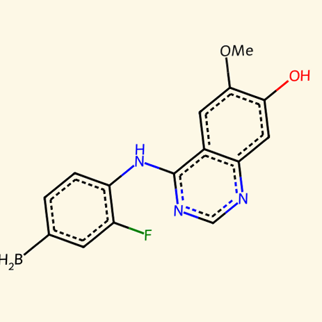 Bc1ccc(Nc2ncnc3cc(O)c(OC)cc23)c(F)c1